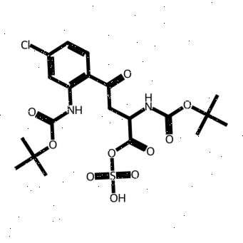 CC(C)(C)OC(=O)Nc1cc(Cl)ccc1C(=O)CC(NC(=O)OC(C)(C)C)C(=O)OS(=O)(=O)O